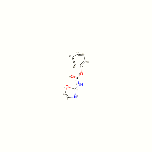 O=C(Nc1ncco1)Oc1ccccc1